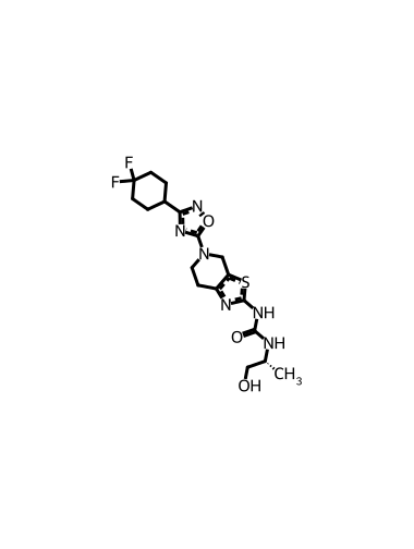 C[C@H](CO)NC(=O)Nc1nc2c(s1)CN(c1nc(C3CCC(F)(F)CC3)no1)CC2